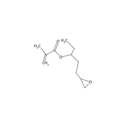 C=C(C)C(=O)OC(CC)CCC1CO1